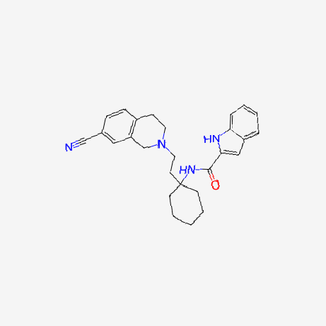 N#Cc1ccc2c(c1)CN(CCC1(NC(=O)c3cc4ccccc4[nH]3)CCCCC1)CC2